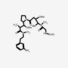 CCC(C)C(C(CC(=O)N1CCCC1C(OC)C(C)C(=O)N(C)CCc1cccc(N)c1)OC)N(C)C(=O)CNC=O